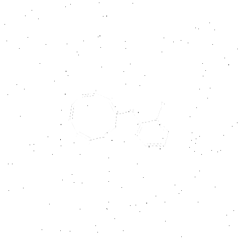 Nc1cccnc1Nc1ccccccccc1